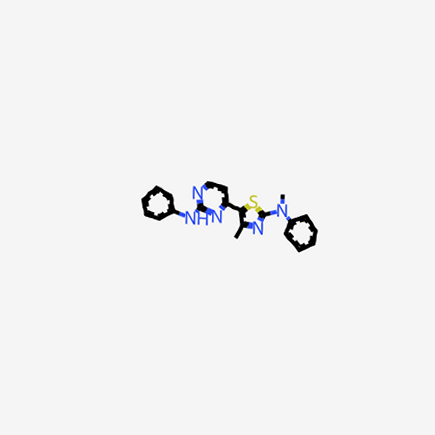 Cc1nc(N(C)c2ccccc2)sc1-c1ccnc(Nc2ccccc2)n1